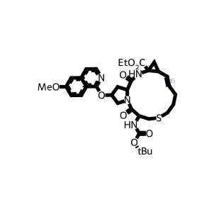 CCOC(=O)C12CC1/C=C/CCCSCC(NC(=O)OC(C)(C)C)C(=O)N1CC(Oc3nccc4cc(OC)ccc34)CC1C(=O)N2